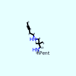 CC#CCCNCC(C)(C)CNCCCCC